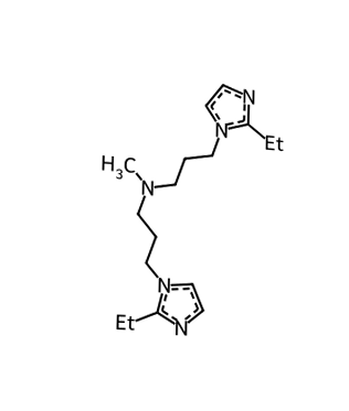 CCc1nccn1CCCN(C)CCCn1ccnc1CC